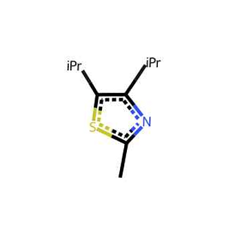 Cc1nc(C(C)C)c(C(C)C)s1